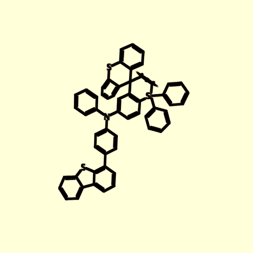 c1ccc(N(c2ccc(-c3cccc4c3sc3ccccc34)cc2)c2ccc3c(c2)C2(c4ccccc4Sc4ccccc42)c2ccccc2[Si]3(c2ccccc2)c2ccccc2)cc1